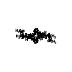 CC(=O)OC[C@@]1(C)C[C@@H]1C(=O)Nc1cc2cc(-c3cnccc3CNc3nc(-c4cnccc4C)cc4cc(NC(=O)[C@@H]5C[C@@]5(C)COC(C)=O)ncc34)nc(N)c2cn1